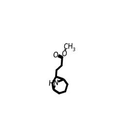 COC(=O)CCC1CC2CCCC1N2